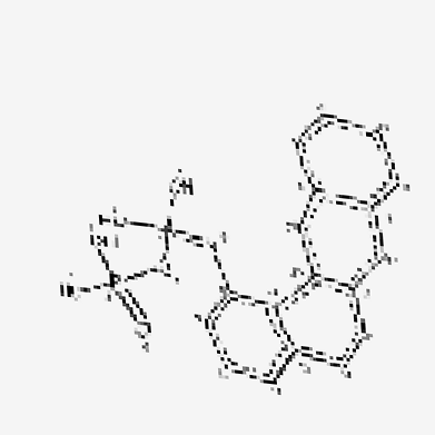 O=P(O)(O)OP(O)(O)=Nc1cccc2ccc3cc4ccccc4cc3c12